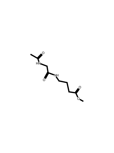 COC(=O)CCCNC(=O)CNC(C)=O